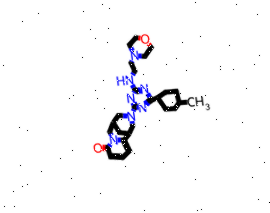 CC1CCC(c2nc(NCCN3CCOCC3)nc(N3CC4CC(C3)c3cccc(=O)n3C4)n2)CC1